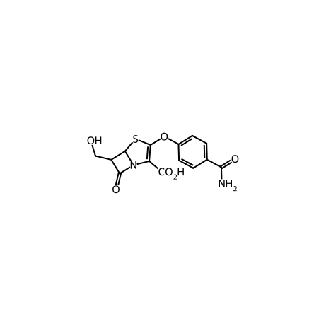 NC(=O)c1ccc(OC2=C(C(=O)O)N3C(=O)C(CO)C3S2)cc1